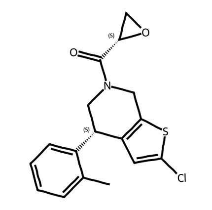 Cc1ccccc1[C@@H]1CN(C(=O)[C@@H]2CO2)Cc2sc(Cl)cc21